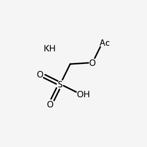 CC(=O)OCS(=O)(=O)O.[KH]